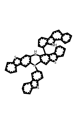 B1c2cc3sc4ccccc4c3cc2N(c2ccc3sc4ccccc4c3c2)c2cc3sc4ccccc4c3c(-c3cccc4c3[nH]c3c5ccccc5ccc43)c21